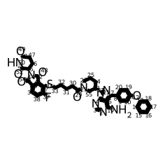 Nc1ncnc2c1c(-c1ccc(Oc3ccccc3)cc1)nn2C1CCCN(C(=O)CCCCSc2c(F)ccc3c2C(=O)N(C2CCC(=O)NC2=O)C3=O)C1